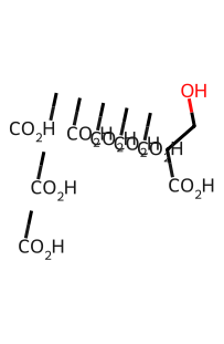 CC(=O)O.CC(=O)O.CC(=O)O.CC(=O)O.CC(=O)O.CC(=O)O.CC(=O)O.O=C(O)CCO